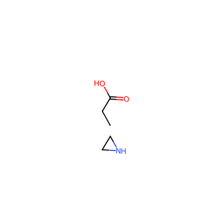 C1CN1.CCC(=O)O